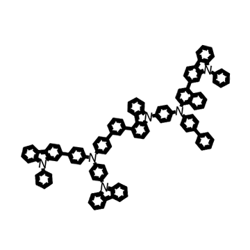 c1ccc(-c2ccc(N(c3ccc(-n4c5ccccc5c5c(-c6cccc(-c7ccc(N(c8ccc(-c9ccc%10c%11ccccc%11n(-c%11ccccc%11)c%10c9)cc8)c8ccc(-n9c%10ccccc%10c%10ccccc%109)cc8)cc7)c6)cccc54)cc3)c3ccc(-c4ccc5c6ccccc6n(-c6ccccc6)c5c4)c4ccccc34)cc2)cc1